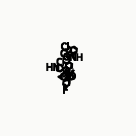 CC(=O)[N+]1(S(=O)(=O)c2ccc(F)cc2)c2ccc(C(=O)Nc3cccc(Cl)c3Cl)c(Cl)c2C2(CCNCC2)C1C1CC1